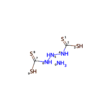 N.S=C(S)NNNC(=S)S